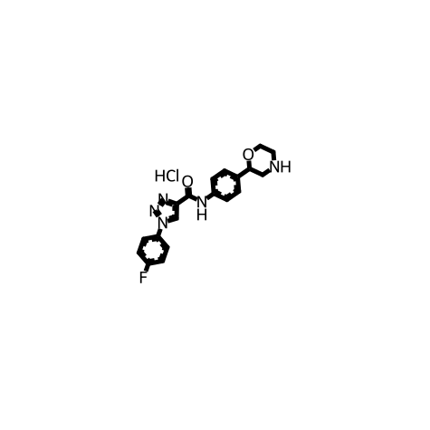 Cl.O=C(Nc1ccc(C2CNCCO2)cc1)c1cn(-c2ccc(F)cc2)nn1